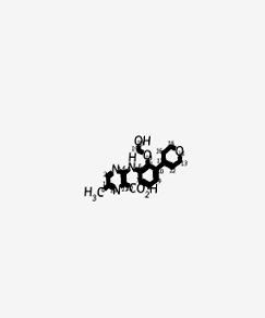 Cc1cnc(Nc2cccc(C3=CCOCC3)c2OCO)c(C(=O)O)n1